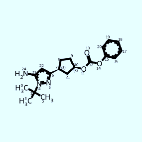 CC(C)(C)n1nc([C@H]2CC[C@@H](OC(=O)Oc3ccccc3)C2)cc1N